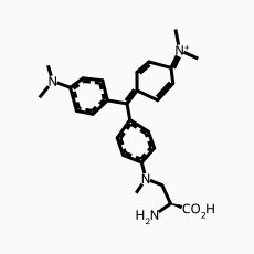 CN(C)c1ccc(C(=C2C=CC(=[N+](C)C)C=C2)c2ccc(N(C)C[C@H](N)C(=O)O)cc2)cc1